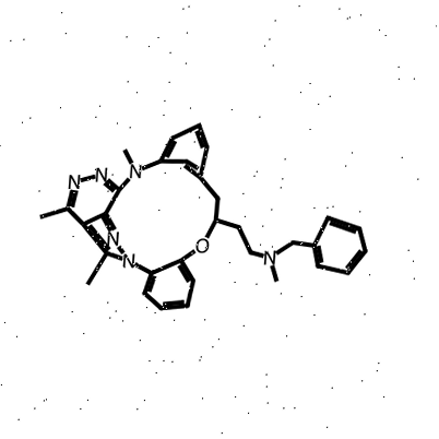 Cc1nnc2c3nn(c(C)c13)-c1ccccc1OC(CCN(C)Cc1ccccc1)Cc1cccc(c1)N2C